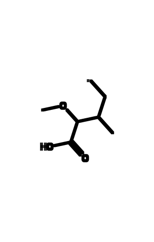 [CH2]CC(C)C(OC)C(=O)O